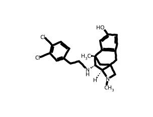 CN1CC23Cc4ccc(O)cc4[C@](C)(C2)[C@@H](NCCc2ccc(Cl)c(Cl)c2)[C@H]13